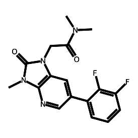 CN(C)C(=O)Cn1c(=O)n(C)c2ncc(-c3cccc(F)c3F)cc21